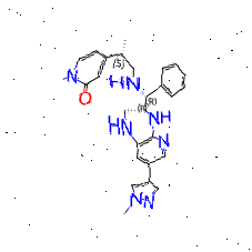 C[C@H](CN[C@H](c1ccccc1)[C@H]1CNc2cc(-c3cnn(C)c3)cnc2N1)c1ccn(C)c(=O)c1